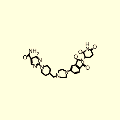 NC(=O)c1cnc(N2CCC(CN3CCN(c4ccc5c(c4)C(=O)N(C4CCC(=O)NC4=O)C5=O)CC3)CC2)nc1